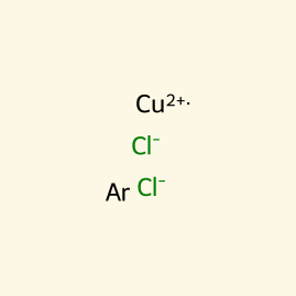 [Ar].[Cl-].[Cl-].[Cu+2]